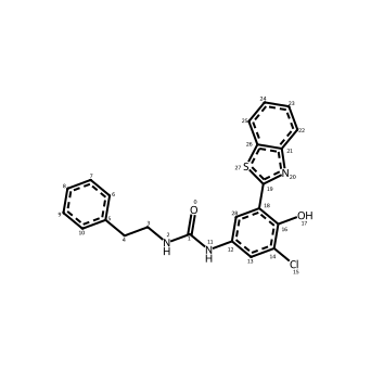 O=C(NCCc1ccccc1)Nc1cc(Cl)c(O)c(-c2nc3ccccc3s2)c1